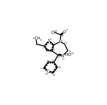 CCc1cc2c(s1)N(C(=O)Cl)CCN=C2c1ccccc1.Cl